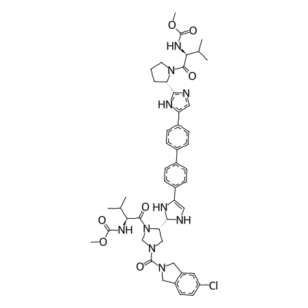 COC(=O)N[C@H](C(=O)N1CCC[C@H]1c1ncc(-c2ccc(-c3ccc(C4=CNC([C@@H]5CN(C(=O)N6Cc7ccc(Cl)cc7C6)CN5C(=O)[C@@H](NC(=O)OC)C(C)C)N4)cc3)cc2)[nH]1)C(C)C